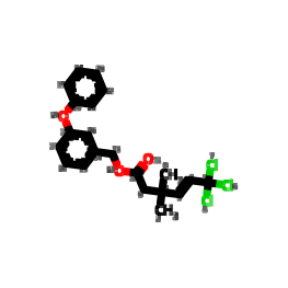 CC(C)(C=CC(Cl)(Cl)Cl)CC(=O)OCc1cccc(Oc2ccccc2)c1